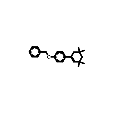 CC1(C)C=C(c2ccc(OCc3ccccc3)cc2)CC(C)(C)C1